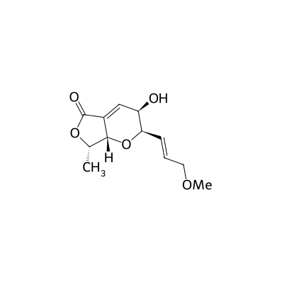 COC/C=C/[C@H]1O[C@H]2C(=C[C@H]1O)C(=O)O[C@H]2C